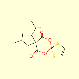 CC(C)CC1(CC(C)C)C(=O)OC2(OC1=O)SC=CS2